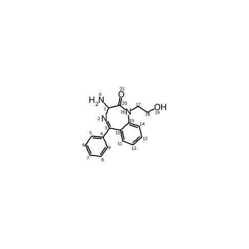 NC1N=C(c2ccccc2)c2ccccc2N(CCO)C1=O